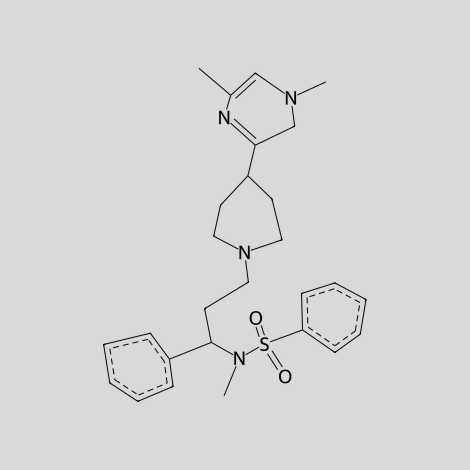 CC1=CN(C)CC(C2CCN(CCC(c3ccccc3)N(C)S(=O)(=O)c3ccccc3)CC2)=N1